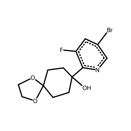 OC1(c2ncc(Br)cc2F)CCC2(CC1)OCCO2